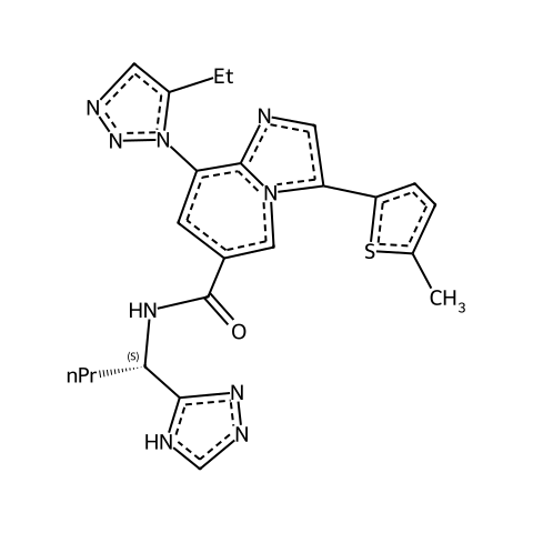 CCC[C@H](NC(=O)c1cc(-n2nncc2CC)c2ncc(-c3ccc(C)s3)n2c1)c1nnc[nH]1